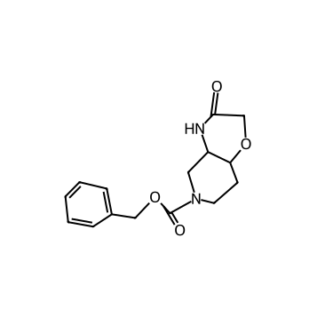 O=C1COC2CCN(C(=O)OCc3ccccc3)CC2N1